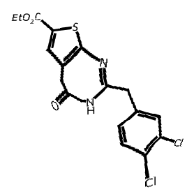 CCOC(=O)c1cc2c(=O)[nH]c(Cc3ccc(Cl)c(Cl)c3)nc2s1